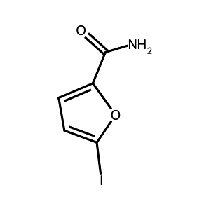 NC(=O)c1ccc(I)o1